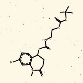 CN1C(=O)CCC(OC(=O)NCCOC(=O)OC(C)(C)C)c2ccc(Br)cc21